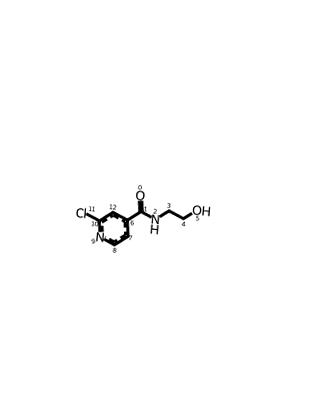 O=C(NCCO)c1ccnc(Cl)c1